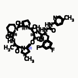 Cc1ccc(NC(=O)N[C@@H](Cc2cc(F)cc(F)c2)C(=O)N[C@@H]2C(=O)N3CCC[C@H]3C(=O)N3CCCC[C@H]3C(=O)N[C@@H](C)C(=O)N3C[C@H](C)C/C3=C/O[C@H]2C)nc1